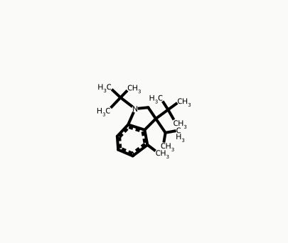 Cc1cccc2c1C(C(C)C)(C(C)(C)C)CN2C(C)(C)C